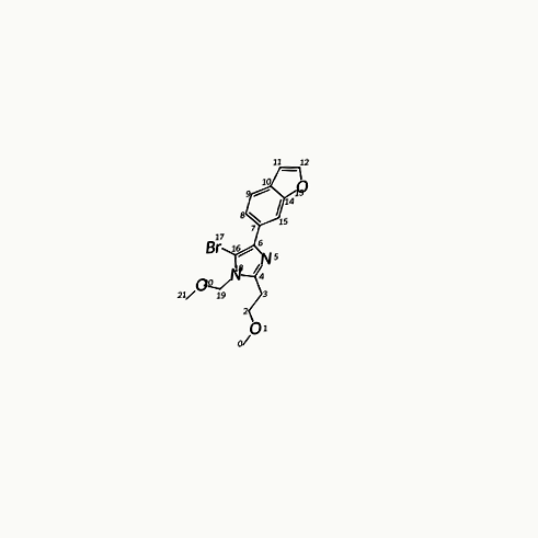 COCCc1nc(-c2ccc3ccoc3c2)c(Br)n1COC